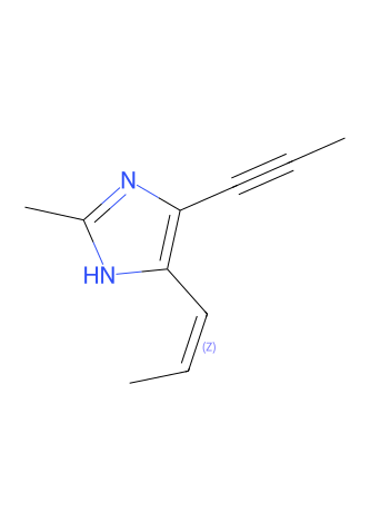 CC#Cc1nc(C)[nH]c1/C=C\C